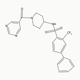 O=C(c1cncnc1)N1CCC(NS(=O)(=O)c2ccc(-c3ccccc3)cc2C(F)(F)F)CC1